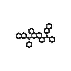 c1ccc(N(c2ccc3ccccc3c2)c2cc3c4cccc(N(c5ccccc5)c5ccc6ccccc6c5)c4ccc3c3ccccc23)cc1